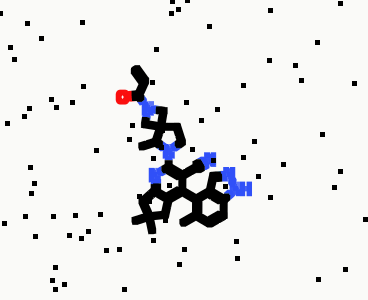 C=CC(=O)N1CC2(CCN(c3nc4c(c(-c5c(C)ccc6[nH]ncc56)c3C#N)CC(C)(C)C4)C2C)C1